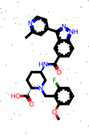 COc1cccc(F)c1CN1C[C@H](NC(=O)c2ccc3[nH]nc(-c4ccnc(C)c4)c3c2)CC[C@H]1C(=O)O